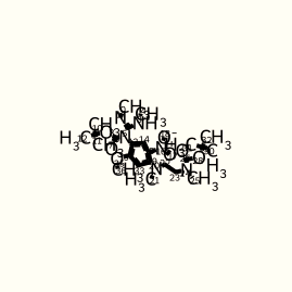 C/N=C(\NC)N(C(=O)OC(C)(C)C)c1cc([N+](=O)[O-])c(N(C)CCN(C)C(=O)OC(C)(C)C)cc1OC